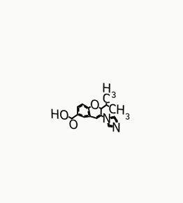 CC(C)C1Oc2ccc(C(=O)O)cc2C=C1n1ccnc1